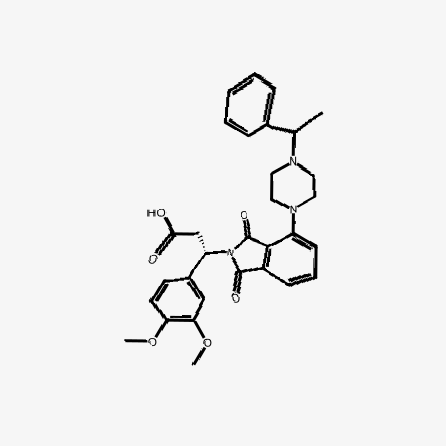 COc1ccc([C@H](CC(=O)O)N2C(=O)c3cccc(N4CCN(C(C)c5ccccc5)CC4)c3C2=O)cc1OC